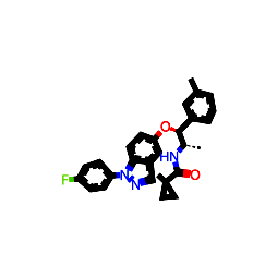 Cc1cccc([C@H](Oc2ccc3c(cnn3-c3ccc(F)cc3)c2)[C@H](C)NC(=O)C2(C)CC2)c1